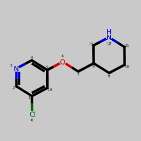 Clc1cncc(OCC2CCCNC2)c1